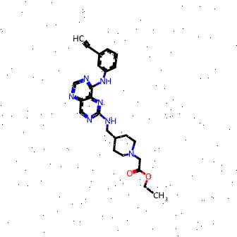 C#Cc1cccc(Nc2ncnc3cnc(NCC4CCN(CC(=O)OCC)CC4)nc23)c1